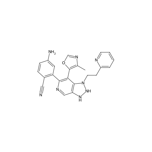 Cc1ncoc1-c1c(-c2cc(N)ccc2C#N)ncc2c1N(CCc1ccccn1)NN2